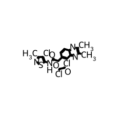 Cc1nc2ccc(CC(=O)Nc3snc(C)c3Cl)cc2nc1C.O=C(Cl)C(=O)Cl